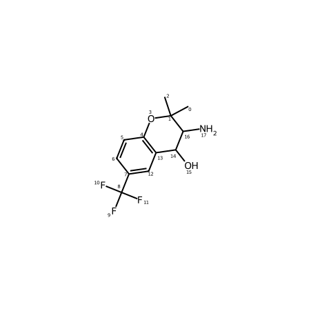 CC1(C)Oc2ccc(C(F)(F)F)cc2C(O)C1N